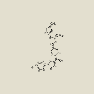 COC(COc1ccc(C(=O)N2CC[C@H](c3ccc(F)cc3)C2)cc1)Cc1ccn(C)n1